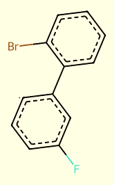 Fc1cc[c]c(-c2ccccc2Br)c1